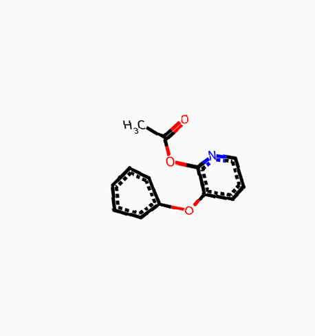 CC(=O)Oc1ncccc1Oc1ccccc1